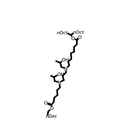 CCCCCCCCCCCOC(=O)CCCCCN(CCCN(CCCCCCCC(=O)OC(CCCCCCCC)CCCCCCCC)CC(C)O)CC(C)O